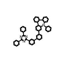 c1ccc(-c2nc(-c3ccccc3)nc(-c3cccc(-c4cccc(-c5ccc6c(c5)N(c5ccccc5)c5ccccc5-c5ccccc5-6)c4)c3)n2)cc1